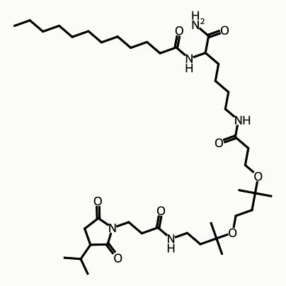 CCCCCCCCCCCC(=O)NC(CCCCNC(=O)CCOC(C)(C)CCOC(C)(C)CCNC(=O)CCN1C(=O)CC(C(C)C)C1=O)C(N)=O